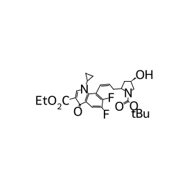 CCOC(=O)c1cn(C2CC2)c2c(/C=C\CC3C[C@@H](O)CN3C(=O)OC(C)(C)C)c(F)c(F)cc2c1=O